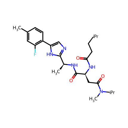 Cc1ccc(-c2cnc([C@H](C)NC(=O)[C@H](CC(=O)N(C)C(C)C)NC(=O)CCC(C)C)[nH]2)c(F)c1